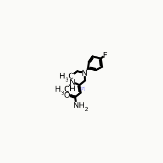 CCN(C/C(=C/C(N)=O)NC)c1ccc(F)cc1